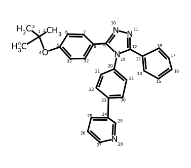 CC(C)(C)Oc1ccc(-c2nnc(-c3ccccc3)n2-c2ccc(-c3cccnc3)cc2)cc1